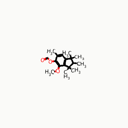 COc1c(OC=O)c(C)cc2c1C(C)(C)C(C)C2(C)C